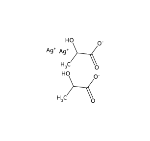 CC(O)C(=O)[O-].CC(O)C(=O)[O-].[Ag+].[Ag+]